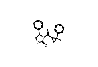 CC1(c2ccccc2)CC1C(=O)N1C(=O)OCC1c1ccccc1